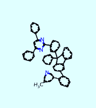 Cc1cncc(-c2ccccc2-c2ccc3c(c2)-c2ccccc2C3(c2ccccc2)c2cccc(-c3nc(-c4ccccc4)cc(-c4ccccc4)n3)c2)c1